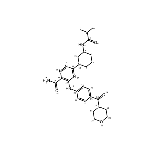 CC(C)C(=O)NC1CCCN(c2nnc(C(N)=O)c(Nc3ccc(C(=O)N4CCOCC4)cc3)n2)C1